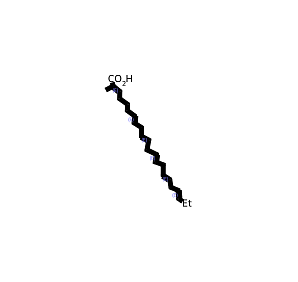 CC/C=C/C/C=C/C/C=C/C/C=C/C/C=C/CCC/C=C(\C)C(=O)O